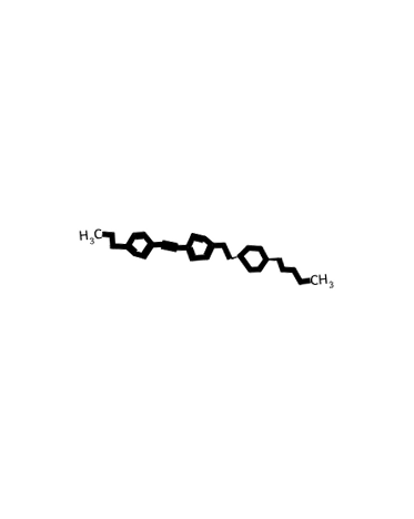 CCCCC[C@H]1CC[C@H](CCc2ccc(C#Cc3ccc(CCC)cc3)cc2)CC1